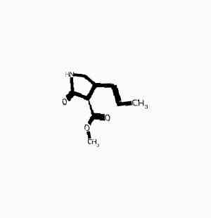 C/C=C/C1CNC(=O)[C@@H]1C(=O)OC